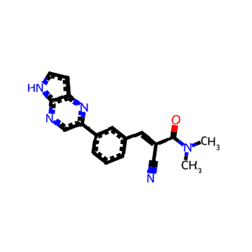 CN(C)C(=O)/C(C#N)=C/c1cccc(-c2cnc3[nH]ccc3n2)c1